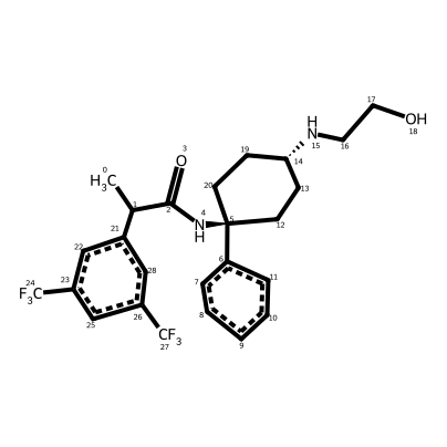 CC(C(=O)N[C@]1(c2ccccc2)CC[C@@H](NCCO)CC1)c1cc(C(F)(F)F)cc(C(F)(F)F)c1